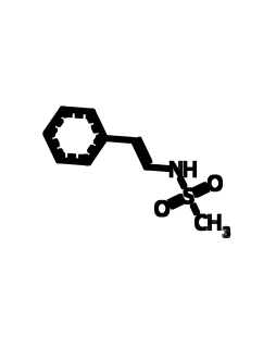 CS(=O)(=O)NC=Cc1ccccc1